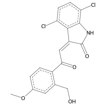 COc1ccc(C(=O)/C=C2\C(=O)Nc3c(Cl)ccc(Cl)c32)c(CO)c1